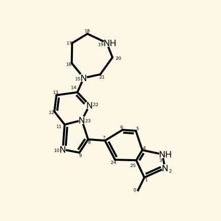 Cc1n[nH]c2ccc(-c3cnc4ccc(N5CCCNCC5)nn34)cc12